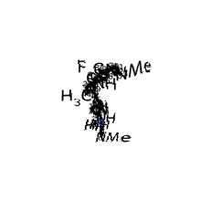 CNCCCN/C=C(\C=N)Nc1cccn2c(C#Cc3cc(C(=O)Nc4ccc(CN5CCC(NC)C5)c(C(F)(F)F)c4)ccc3C)cnc12